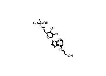 O=P(O)(O)COC[C@H]1O[C@@H](n2cnc3c(NCCO)ncnc32)[C@H](O)[C@@H]1O